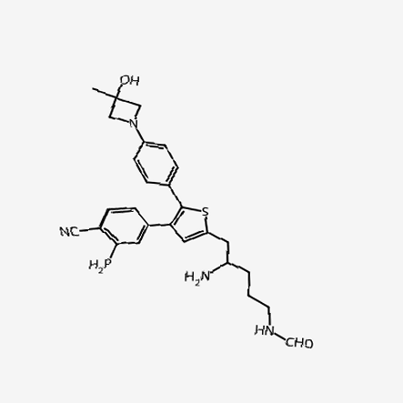 CC1(O)CN(c2ccc(-c3sc(CC(N)CCCNC=O)cc3-c3ccc(C#N)c(P)c3)cc2)C1